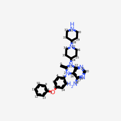 C=C1N(c2ccc(Oc3ccccc3)cc2)c2c(N)ncnc2N1C1CCN(C2CCNCC2)CC1